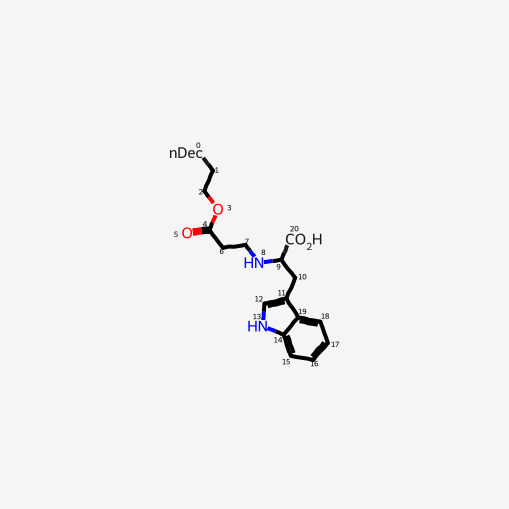 CCCCCCCCCCCCOC(=O)CCNC(Cc1c[nH]c2ccccc12)C(=O)O